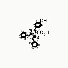 O=C(O)[C@H](Cc1ccc(O)cc1)N(C(=O)Cc1ccccc1)C(=O)Cc1ccccc1